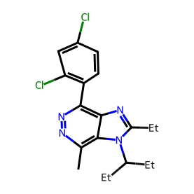 CCc1nc2c(-c3ccc(Cl)cc3Cl)nnc(C)c2n1C(CC)CC